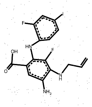 C=CCNc1c(N)cc(C(=O)O)c(Nc2ccc(I)cc2F)c1F